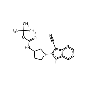 CC(C)(C)OC(=O)NC1CCN(c2[nH]c3cccnc3c2C#N)C1